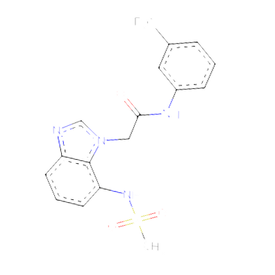 CS(=O)(=O)Nc1cccc2ncn(CC(=O)Nc3cccc(C(F)(F)F)c3)c12